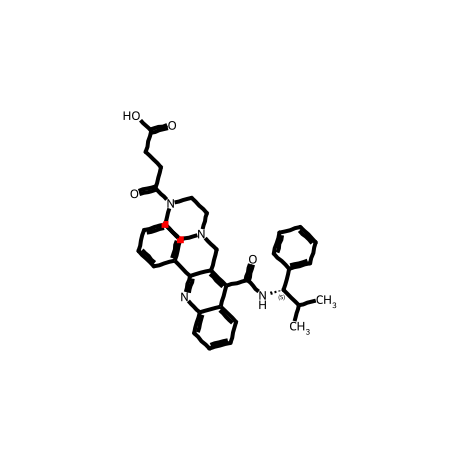 CC(C)[C@H](NC(=O)c1c(CN2CCN(C(=O)CCC(=O)O)CC2)c(-c2ccccc2)nc2ccccc12)c1ccccc1